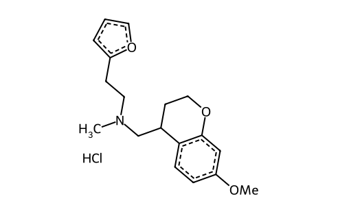 COc1ccc2c(c1)OCCC2CN(C)CCc1ccco1.Cl